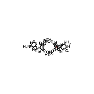 CO[C@H]1[C@H]2OP(=O)(O)OC[C@@]34C[C@@H]3[C@@H](n3cnc5c(N)ncnc53)[C@@H](F)[C@@H]4OP(=O)(O)OC[C@H]1O[C@H]2n1cnc2c(=O)[nH]c(N)nc21